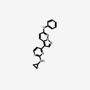 c1ccc(Sc2ccc3c(-c4ccnc(NC5CC5)n4)cnn3n2)cc1